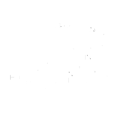 COc1ccc(CNCc2ccccc2CNc2ccnc3cc(Cl)ccc23)cc1